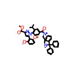 COC(=O)c1cc(-c2c(OC)cccc2OC)n(-c2ccc(C(=O)N(C)CCCN(C)C(c3ccccc3)(c3ccccc3)c3ccccc3)cc2C(C)C)n1